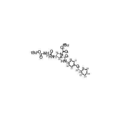 CC(C)(C)OC(=O)NCC(=O)NC1C[C@@H](C(=O)Nc2ccc(OCc3ccccc3)cc2)N(C(=O)OC(C)(C)C)C1